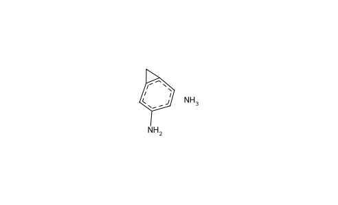 N.Nc1ccc2c(c1)C2